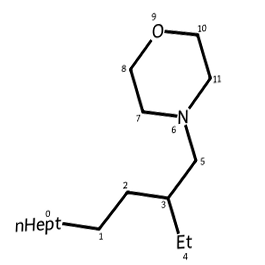 CCCCCCCCCC(CC)CN1CCOCC1